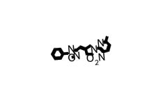 Cc1ccc([N+](=O)[O-])c(N2CC/C(=C\c3noc(-c4ccccc4)n3)C2)n1